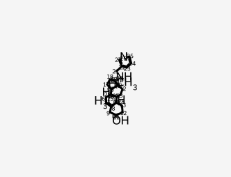 C[C@]12CC[C@H]3[C@@H](CC=C4C[C@@H](O)CC[C@@]43C)[C@@H]1CC[C@@H]2NCc1cccnc1